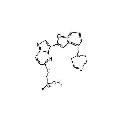 C[C@H](N)COc1ccc2ncc(-c3cc4c(N5CCOCC5)cccc4o3)n2n1